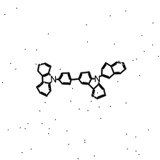 C1=Cc2c(c3ccccc3n2-c2ccc(-c3ccc4c(c3)c3ccccc3n4-c3ccc4ccccc4c3)cc2)CC1